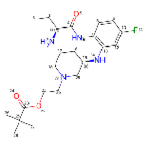 CC[C@H](N)C(=O)Nc1ccc(F)cc1N[C@@H]1CCCN(CCOC(=O)C(C)(C)C)C1